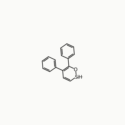 C1=CC(c2ccccc2)=C(c2ccccc2)O[SiH]1